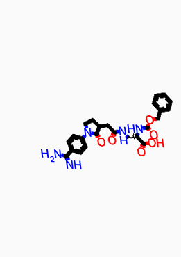 N=C(N)c1ccc(N2CCC(CC(=O)NC[C@H](NC(=O)OCc3ccccc3)C(=O)O)C2=O)cc1